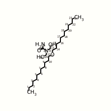 CCCCCCCCCCCCOCCCCCCCCCCCC.NC(=O)N(CO)CO